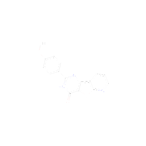 COc1ccc(-c2nc3c(oc4ncccc43)c(=O)[nH]2)cc1